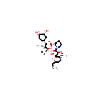 CCC1CC[C@@H](C)[C@](O)(C(=O)C(=O)N2CCCC[C@H]2C(=O)O[C@@H](C)[C@H](C)C[C@@H]2CC[C@@H](O)[C@H](O)C2)O1